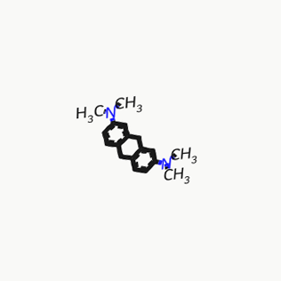 CN(C)c1ccc2c(c1)Cc1cc(N(C)C)ccc1C2